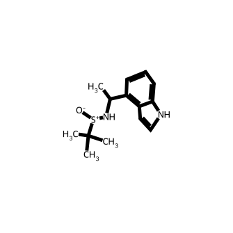 CC(N[S+]([O-])C(C)(C)C)c1cccc2[nH]ccc12